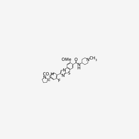 COc1cc2c(cc1C(=O)NC1CCN(C)CC1)sc1nc(-c3ccc([C@H]4CCCN4C(=O)O)cc3F)cn12